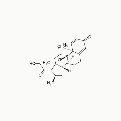 C[C@@H]1C[C@H]2[C@@H]3CCC4=CC(=O)C=C[C@]4(C)[C@@]3(Cl)[C@@H](Cl)C[C@]2(C)[C@H]1C(=O)CO